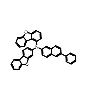 c1ccc(-c2ccc3cc(N(c4ccc5c(c4)sc4ccccc45)c4cccc5oc6ccccc6c45)ccc3c2)cc1